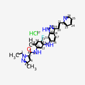 CCn1nc(C)cc1C(=O)Nc1cc(Nc2ccc3c(/C=C/c4ccccn4)n[nH]c3c2)c(F)cc1C.Cl